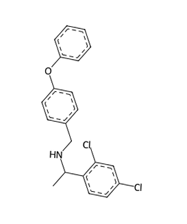 CC(NCc1ccc(Oc2ccccc2)cc1)c1ccc(Cl)cc1Cl